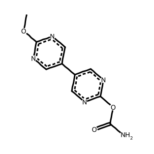 COc1ncc(-c2cnc(OC(N)=O)nc2)cn1